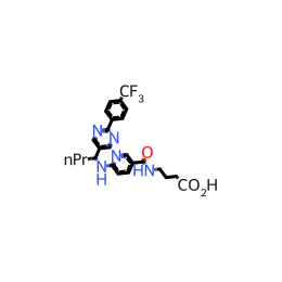 CCCC(Nc1ccc(C(=O)NCCCC(=O)O)cn1)c1cnc(-c2ccc(C(F)(F)F)cc2)nc1